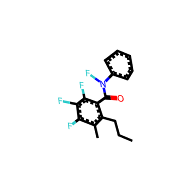 CCCc1c(C)c(F)c(F)c(F)c1C(=O)N(F)c1ccccc1